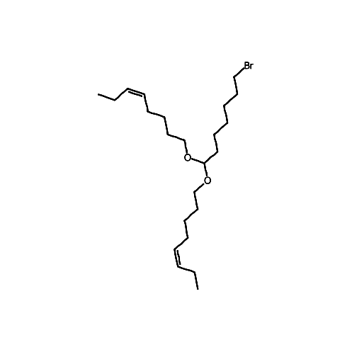 CC/C=C\CCCCOC(CCCCCCBr)OCCCC/C=C\CC